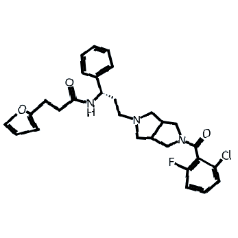 O=C(CCc1ccco1)N[C@@H](CCN1CC2CN(C(=O)c3c(F)cccc3Cl)CC2C1)c1ccccc1